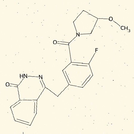 COC1CCN(C(=O)c2cc(Cc3n[nH]c(=O)c4ccccc34)ccc2F)C1